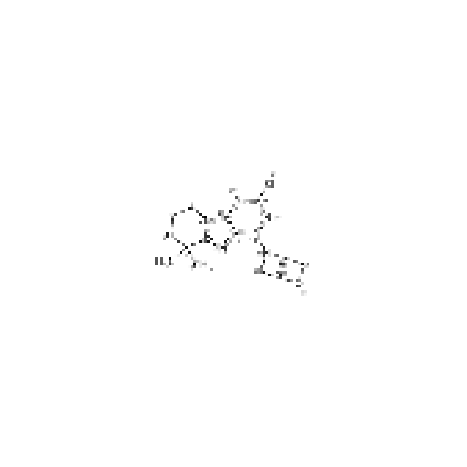 CC1(C)OCCn2c1nc1c(N3CC4=C3CO4)nc(Cl)nc12